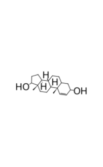 C[C@]12C=CC(O)CC1CC[C@@H]1[C@@H]2CC[C@]2(C)C(O)CC[C@@H]12